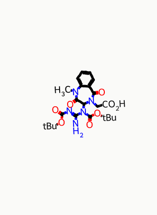 CN1C(=O)C(N(C(=O)OC(C)(C)C)C(N)=NC(=O)OC(C)(C)C)N(CC(=O)O)C(=O)c2ccccc21